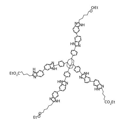 CCOOCCCCCc1nc2ccc(-c3ccc4nc(-c5ccc(C67CC8(c9ccc(-c%10nc%11ccc(-c%12ccc%13nc(CCCCCOOCC)[nH]c%13c%12)cc%11[nH]%10)cc9)CC(c9ccc(-c%10nc%11ccc(-c%12ccc%13nc(CCCCC(=O)OCC)[nH]c%13c%12)cc%11[nH]%10)cc9)(C6)CC(c6ccc(-c9nc%10ccc(-c%11ccc%12nc(CCCCC(=O)OCC)[nH]c%12c%11)cc%10[nH]9)cc6)(C7)C8)cc5)[nH]c4c3)cc2[nH]1